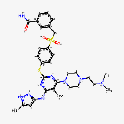 COc1c(Nc2cc(C)[nH]n2)nc(Sc2ccc(S(=O)(=O)Cc3cccc(C(N)=O)c3)cc2)nc1N1CCN(CCN(C)C)CC1